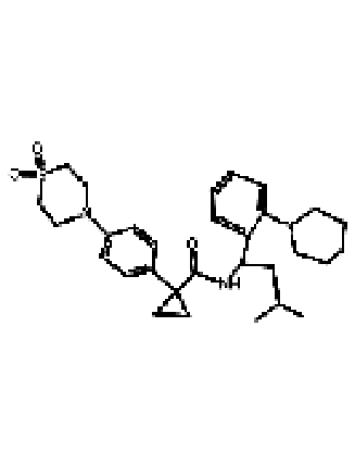 CC(C)CC(NC(=O)C1(c2ccc(N3CCS(=O)(=O)CC3)cc2)CC1)c1ccccc1N1CCCCC1